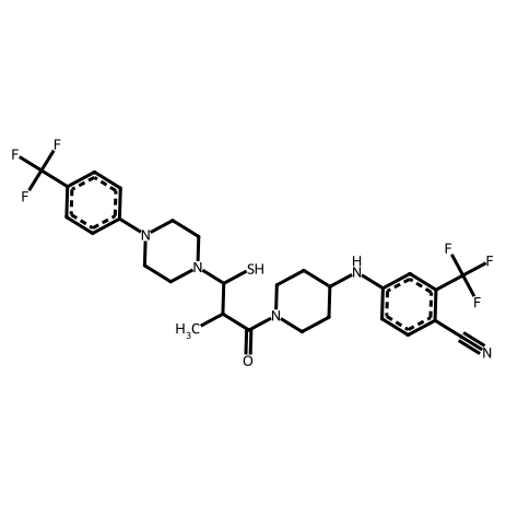 CC(C(=O)N1CCC(Nc2ccc(C#N)c(C(F)(F)F)c2)CC1)C(S)N1CCN(c2ccc(C(F)(F)F)cc2)CC1